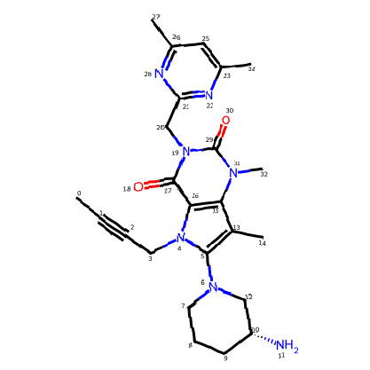 CC#CCn1c(N2CCC[C@@H](N)C2)c(C)c2c1c(=O)n(Cc1nc(C)cc(C)n1)c(=O)n2C